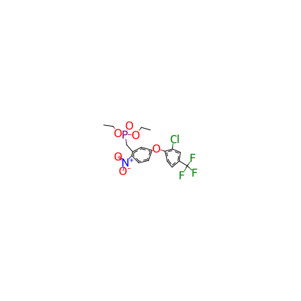 CCOP(=O)(Cc1cc(Oc2ccc(C(F)(F)F)cc2Cl)ccc1[N+](=O)[O-])OCC